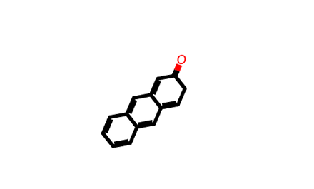 O=C1C=c2cc3ccccc3cc2=CC1